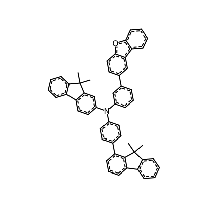 CC1(C)c2ccccc2-c2ccc(N(c3ccc(-c4cccc5c4C(C)(C)c4ccccc4-5)cc3)c3cccc(-c4ccc5oc6ccccc6c5c4)c3)cc21